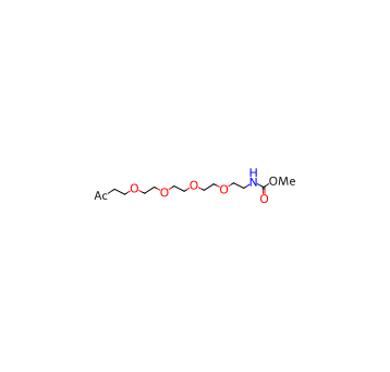 COC(=O)NCCOCCOCCOCCOCCC(C)=O